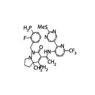 C=C(Nc1ccc(C(F)(F)F)nc1-c1cnc(SC)nc1)C1=C(P)C2(C)CCCN2N(Cc2cccc(P)c2F)C1=O